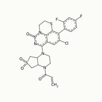 C=CC(=O)N1CCN(c2nc(=O)n3c4c(c(-c5ccc(F)cc5F)c(Cl)cc24)SCC3)C2CS(=O)(=O)CC21